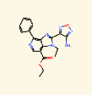 CCOC(=O)c1cnc(-c2ccccc2)c2nc(-c3nonc3N)n(CC)c12